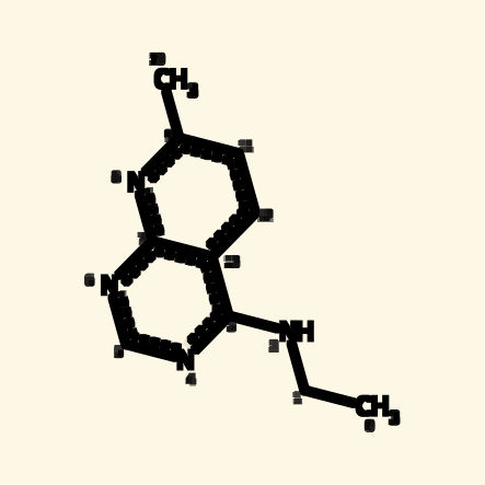 CCNc1ncnc2nc(C)ccc12